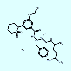 CCNc1cc(C(=O)N[C@@H](Cc2ccccc2)[C@H](O)CNC(C)CCC(C)C)cc(N2CCCCS2(=O)=O)c1.Cl